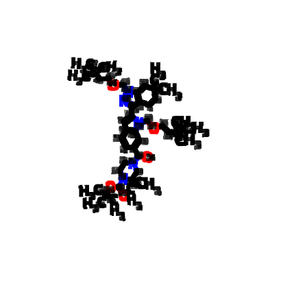 CC1(C)CCc2c(-c3cc4ccc(C(=O)N5CCN(C(=O)OC(C)(C)C)C(C)(C)C5)cc4n3COCC[Si](C)(C)C)nn(COCC[Si](C)(C)C)c2C1